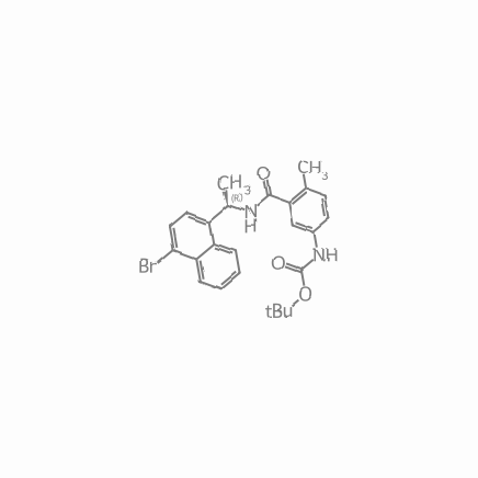 Cc1ccc(NC(=O)OC(C)(C)C)cc1C(=O)N[C@H](C)c1ccc(Br)c2ccccc12